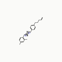 C=CCCCc1ccc(/C=N/N=C/c2ccc(C)cc2C)cc1